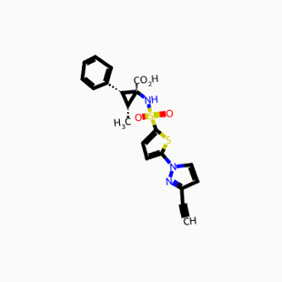 C#Cc1ccn(-c2ccc(S(=O)(=O)N[C@@]3(C(=O)O)[C@H](C)[C@@H]3c3ccccc3)s2)n1